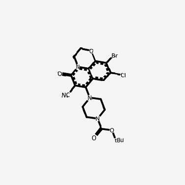 CC(C)(C)OC(=O)N1CCN(c2c(C#N)c(=O)n3c4c(c(Br)c(Cl)cc24)OCC3)CC1